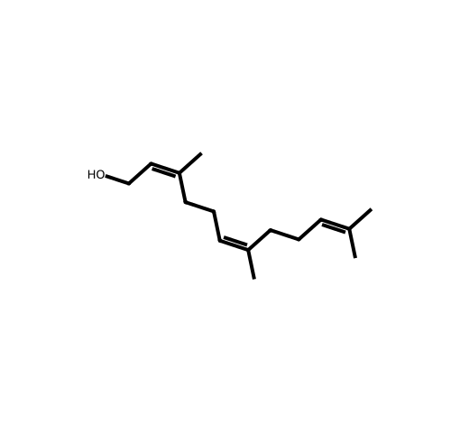 CC(C)=CCC/C(C)=C\CC/C(C)=C\CO